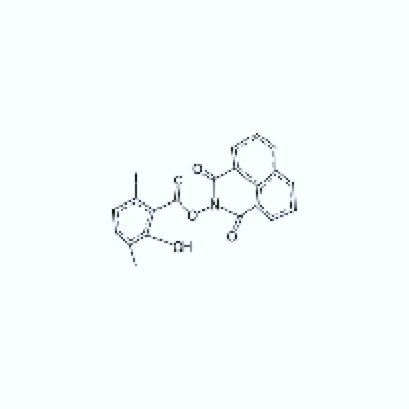 O=C(ON1C(=O)c2cccc3cccc(c23)C1=O)c1c(I)ccc(I)c1O